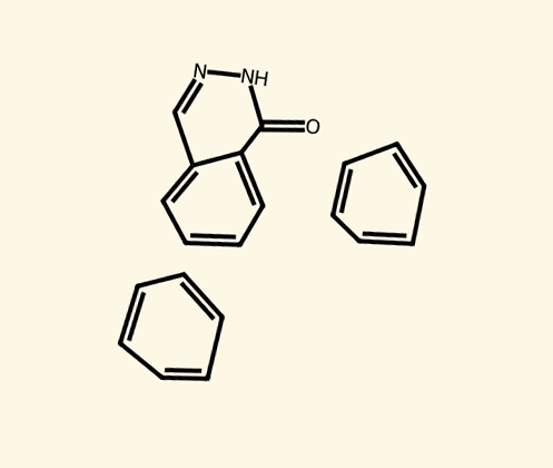 O=c1[nH]ncc2ccccc12.c1ccccc1.c1ccccc1